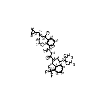 CN(C)CCN(Cc1ccccc1C(F)(F)F)C(=O)CNc1cccc2c1OCCN(CC1CC1)C2=O